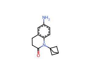 Nc1ccc2c(c1)CCC(=O)N2C12CC(C1)C2